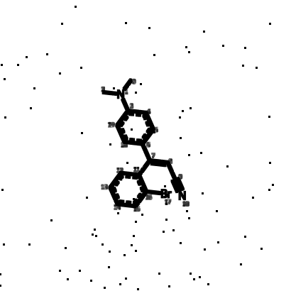 CN(C)c1ccc(/C(=C/C#N)c2ccccc2Br)cc1